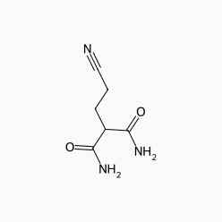 N#CCCC(C(N)=O)C(N)=O